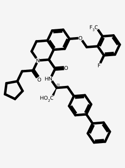 O=C(N[C@@H](Cc1ccc(-c2ccccc2)cc1)C(=O)O)C1c2cc(OCc3c(F)cccc3C(F)(F)F)ccc2CCN1C(=O)CC1CCCC1